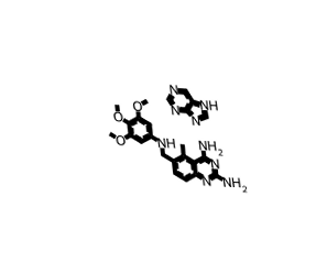 COc1cc(NCc2ccc3nc(N)nc(N)c3c2C)cc(OC)c1OC.c1ncc2[nH]cnc2n1